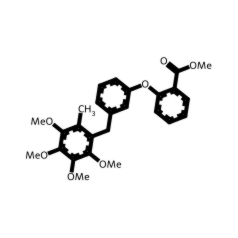 COC(=O)c1ccccc1Oc1cccc(Cc2c(C)c(OC)c(OC)c(OC)c2OC)c1